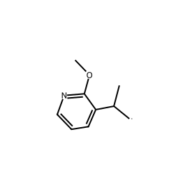 [CH2]C(C)c1cccnc1OC